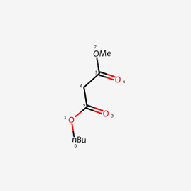 CCCCOC(=O)CC(=O)OC